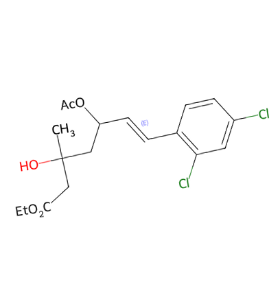 CCOC(=O)CC(C)(O)CC(/C=C/c1ccc(Cl)cc1Cl)OC(C)=O